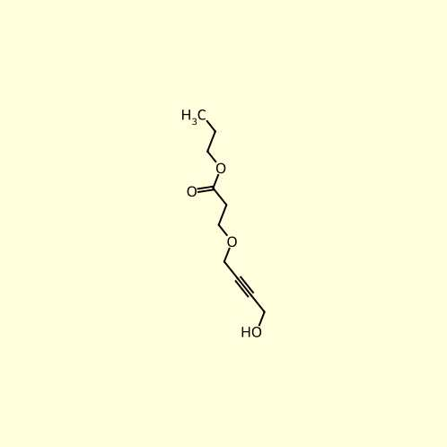 CCCOC(=O)CCOCC#CCO